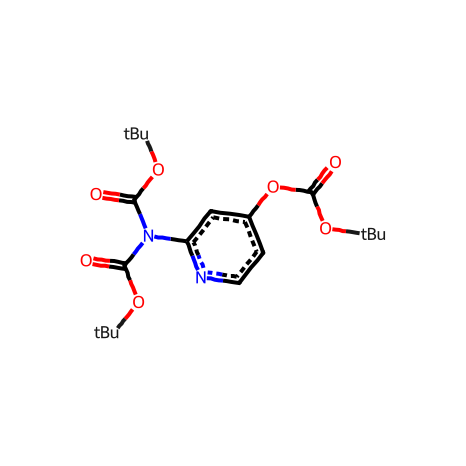 CC(C)(C)OC(=O)Oc1ccnc(N(C(=O)OC(C)(C)C)C(=O)OC(C)(C)C)c1